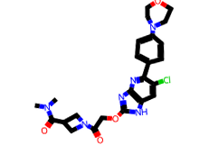 CN(C)C(=O)C1CN(C(=O)COc2nc3nc(-c4ccc(N5CCOCC5)cc4)c(Cl)cc3[nH]2)C1